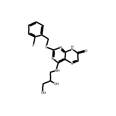 O=c1cnc2c(NCC(O)CO)nc(SCc3ccccc3F)nc2[nH]1